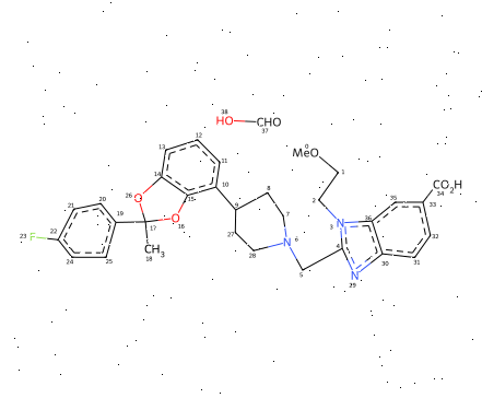 COCCn1c(CN2CCC(c3cccc4c3OC(C)(c3ccc(F)cc3)O4)CC2)nc2ccc(C(=O)O)cc21.O=CO